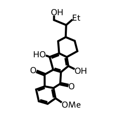 CCC(CO)C1CCc2c(O)c3c(c(O)c2C1)C(=O)c1cccc(OC)c1C3=O